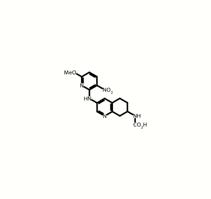 COc1ccc([N+](=O)[O-])c(Nc2cnc3c(c2)CCC(NC(=O)O)C3)n1